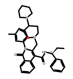 CC[C@H](NC(=O)c1c(CN2CCC(N3CCCCC3)CC2)n(-c2cccc(C)c2)c(=O)c2ccccc12)c1ccccc1